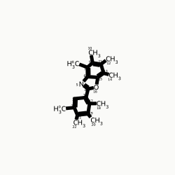 Cc1cc(-c2nc3c(C)c(C)c(C)c(C)c3o2)c(C)c(C)c1C